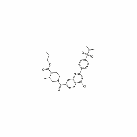 CCCOC(=O)N1CCN(C(=O)c2ccc3c(Cl)cc(-c4ccc(S(=O)(=O)N(C)C)cc4)nc3c2)C[C@H]1C